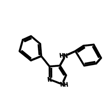 c1ccc(Nc2c[nH]nc2-c2ccccc2)cc1